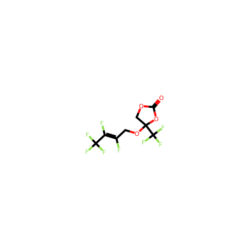 O=C1OCC(OCC(F)=C(F)C(F)(F)F)(C(F)(F)F)O1